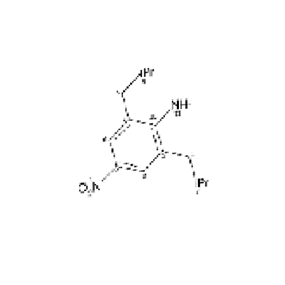 CC(C)Cc1cc([N+](=O)[O-])cc(CC(C)C)c1[NH]